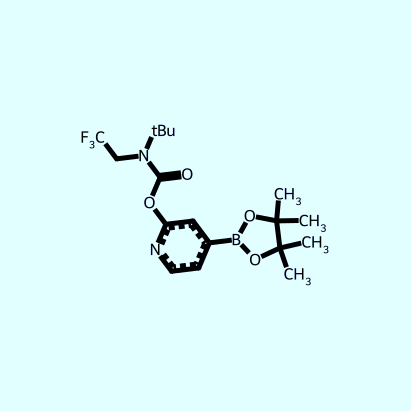 CC(C)(C)N(CC(F)(F)F)C(=O)Oc1cc(B2OC(C)(C)C(C)(C)O2)ccn1